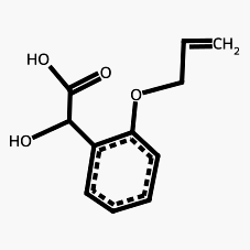 C=CCOc1ccccc1C(O)C(=O)O